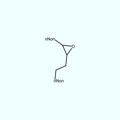 CCCCCCCCCCCC1OC1CCCCCCCCC